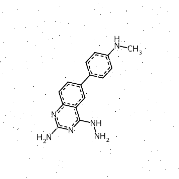 CNc1ccc(-c2ccc3nc(N)nc(NN)c3c2)cc1